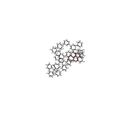 c1ccc(-c2cc(-c3cccc(-c4ccc5c(c4)oc4c(-c6ccc(N(c7ccc(C8(c9ccccc9)c9ccccc9-c9ccccc98)cc7)c7c(-c8ccccc8)c8ccccc8c8ccccc78)cc6)cccc45)c3)cc(N(c3ccccc3-c3cccc4c3oc3ccccc34)c3c(-c4ccccc4)c4ccccc4c4ccccc34)c2)cc1